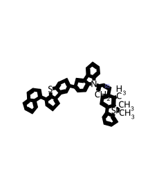 C=C(/C=C\c1ccc2c(c1C)[Si](C)(C)c1ccccc1-2)n1c2ccccc2c2cc(-c3ccc4sc5c(-c6cccc7ccccc67)cccc5c4c3)ccc21